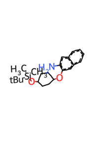 CC(C)(C)[Si](C)(C)OC1CCC(Oc2cc3ccccc3cc2N)CC1